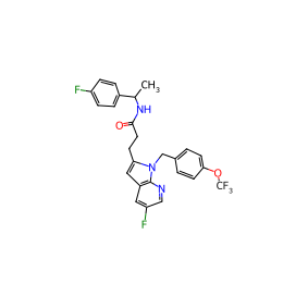 CC(NC(=O)CCc1cc2cc(F)cnc2n1Cc1ccc(OC(F)(F)F)cc1)c1ccc(F)cc1